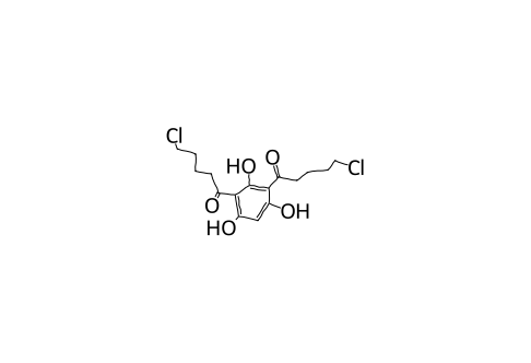 O=C(CCCCCl)c1c(O)cc(O)c(C(=O)CCCCCl)c1O